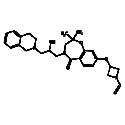 CC1(C)CN(CC(O)CN2CCc3ccccc3C2)C(=O)c2ccc(OC3CN(C=O)C3)cc2O1